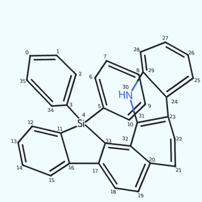 c1ccc([Si]2(c3ccccc3)c3ccccc3-c3ccc4ccc5c6ccccc6[nH]c5c4c32)cc1